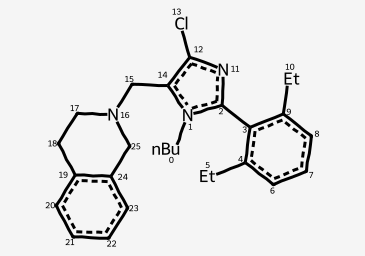 CCCCn1c(-c2c(CC)cccc2CC)nc(Cl)c1CN1CCc2ccccc2C1